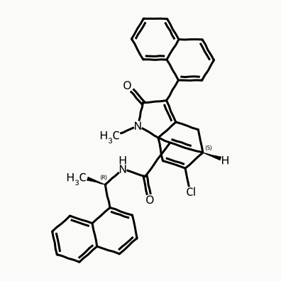 C[C@@H](NC(=O)C1=C[C@@H]2CC3=C(c4cccc5ccccc45)C(=O)N(C)C13C=C2Cl)c1cccc2ccccc12